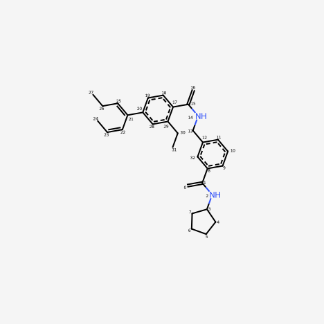 C=C(NC1CCCC1)c1cccc(CNC(=C)c2ccc(C(/C=C\C)=C/CC)cc2CC)c1